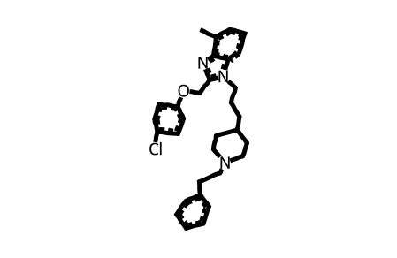 Cc1cccc2c1nc(COc1ccc(Cl)cc1)n2CCCC1CCN(CCc2ccccc2)CC1